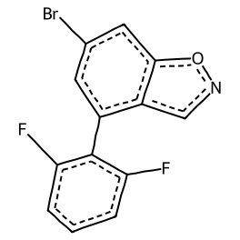 Fc1cccc(F)c1-c1cc(Br)cc2oncc12